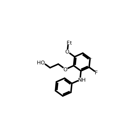 CCOc1c[c]c(F)c(Nc2ccccc2)c1OCCO